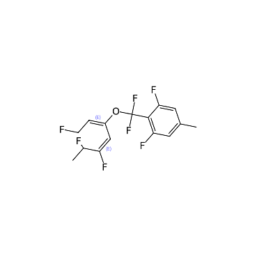 Cc1cc(F)c(C(F)(F)OC(=C/CF)/C=C(/F)C(C)F)c(F)c1